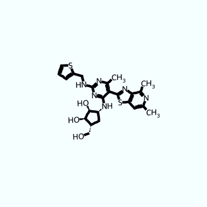 Cc1cc2sc(-c3c(C)nc(NCc4cccs4)nc3N[C@@H]3C[C@H](CO)[C@@H](O)[C@H]3O)nc2c(C)n1